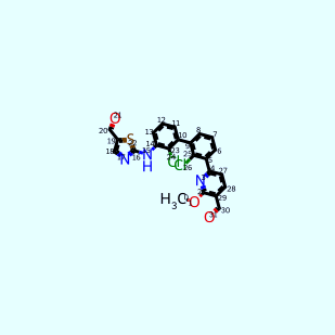 COc1nc(-c2cccc(-c3cccc(Nc4ncc(C=O)s4)c3Cl)c2Cl)ccc1C=O